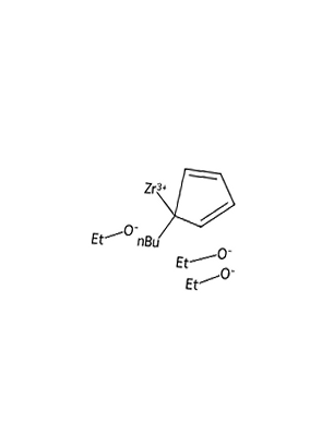 CCCC[C]1([Zr+3])C=CC=C1.CC[O-].CC[O-].CC[O-]